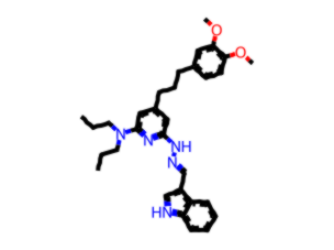 CCCN(CCC)c1cc(CCCc2ccc(OC)c(OC)c2)cc(N/N=C/c2c[nH]c3ccccc23)n1